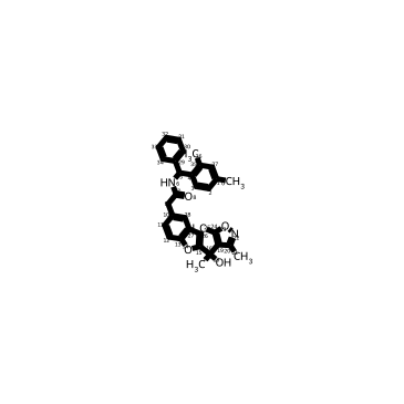 Cc1ccc(C(NC(=O)Cc2ccc3oc(C(C)(O)c4c(C)noc4C)cc3c2)c2ccccc2)c(C)c1